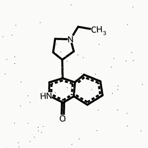 CCN1CCC(c2c[nH]c(=O)c3ccccc23)C1